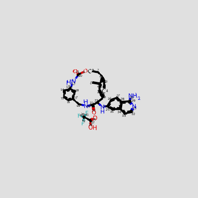 Cc1cc2ccc1CCOC(=O)Nc1cccc(c1)CNC(=O)C2Nc1ccc2c(N)nccc2c1.O=C(O)C(F)(F)F